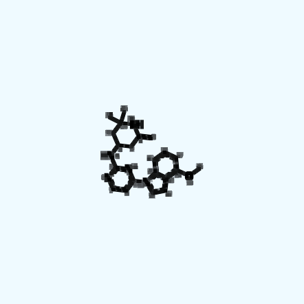 C=C1CC(Nc2nccc(-n3ccc4c(OC)cccc43)n2)CC(C)(C)N1